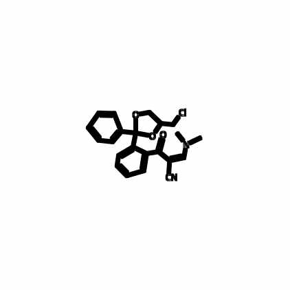 CN(C)/C=C(/C#N)C(=O)c1ccccc1C1(c2ccccc2)OCC(CCl)O1